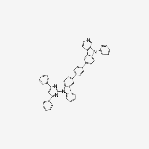 c1ccc(-c2cc(-c3ccccc3)nc(-n3c4ccccc4c4cc(-c5ccc(-c6ccc7c(c6)c6ccncc6n7-c6ccccc6)cc5)ccc43)n2)cc1